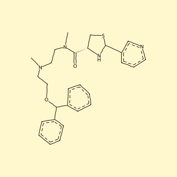 CN(CCOC(c1ccccc1)c1ccccc1)CCN(C)C(=O)[C@@H]1CSC(c2cccnc2)N1